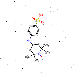 CC1(C)CC(Nc2ccc(S(=O)(=O)O)cc2)CC(C)(C)N1O